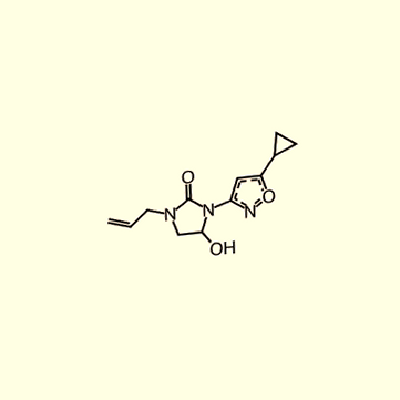 C=CCN1CC(O)N(c2cc(C3CC3)on2)C1=O